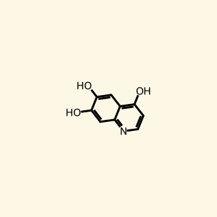 Oc1cc2nccc(O)c2cc1O